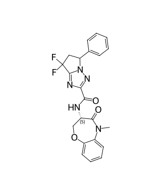 CN1C(=O)[C@@H](NC(=O)c2nc3n(n2)C(c2ccccc2)CC3(F)F)COc2ccccc21